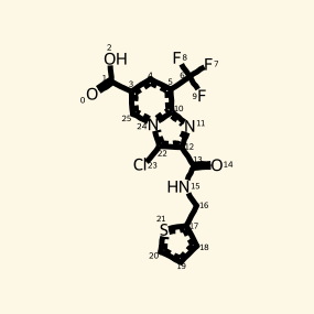 O=C(O)c1cc(C(F)(F)F)c2nc(C(=O)NCc3cccs3)c(Cl)n2c1